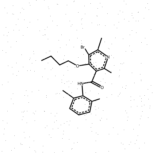 CCCCOc1c(Br)c(C)nc(C)c1C(=O)Nc1c(C)cccc1C